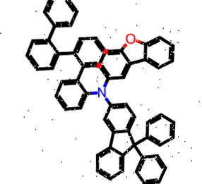 c1ccc(-c2ccccc2-c2ccccc2-c2ccccc2N(c2ccc3c(c2)-c2ccccc2C3(c2ccccc2)c2ccccc2)c2ccc3oc4ccccc4c3c2)cc1